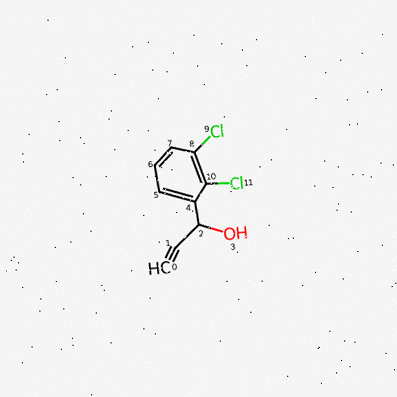 C#CC(O)c1cccc(Cl)c1Cl